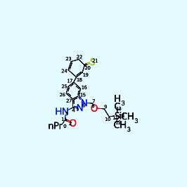 CCCC(=O)Nc1nn(COCC[Si](C)(C)C)c2cc(C3=CC(=S)CC=C3)ccc12